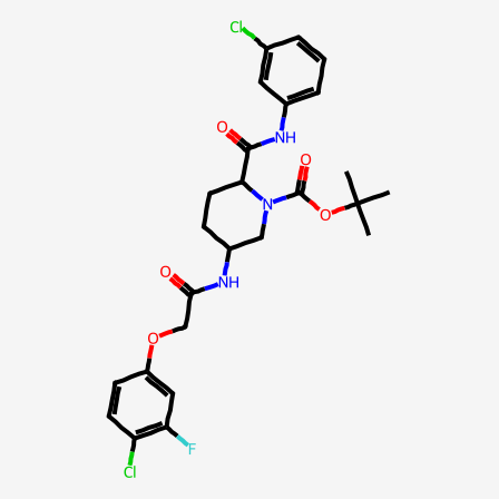 CC(C)(C)OC(=O)N1CC(NC(=O)COc2ccc(Cl)c(F)c2)CCC1C(=O)Nc1cccc(Cl)c1